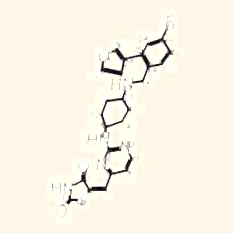 O=C1NC(=O)/C(=C\c2ccnc(NC3CCC(NCc4ccc(F)cc4-c4ccoc4)CC3)n2)S1